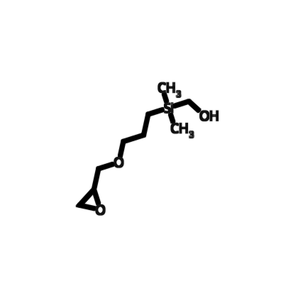 C[Si](C)(CO)CCCOCC1CO1